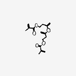 C=C(CCOC(=O)C(=C)C)OC(=C)CCOC(=O)C(=C)C